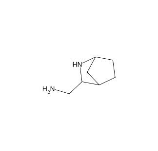 NCC1NC2CCC1C2